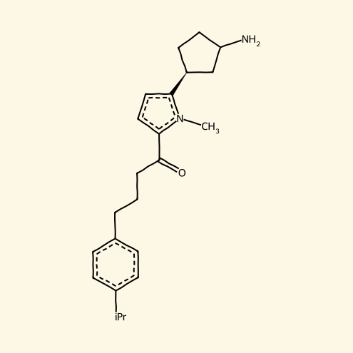 CC(C)c1ccc(CCCC(=O)c2ccc([C@H]3CCC(N)C3)n2C)cc1